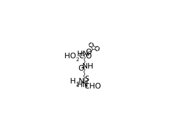 NC1C(NC=O)CSC1CCCCC(=O)NCCCCC(NC(=O)OCC1c2ccccc2-c2ccccc21)C(=O)O